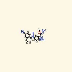 C=N/C=C(\OC)c1n[nH]c2ccc(N[C@H]3CCCCc4cc(C#N)ccc43)cc12